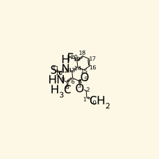 C=CCOC(=O)C1=C(C)NC(=S)NC1C1CC=CC=C1F